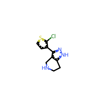 Clc1sccc1-c1n[nH]c2c1CNCC2